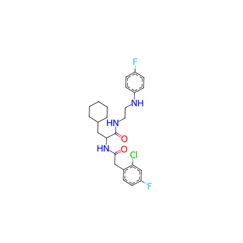 O=C(Cc1ccc(F)cc1Cl)NC(CC1CCCCC1)C(=O)NCCNc1ccc(F)cc1